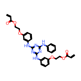 C=CC(=O)OCCOc1cccc(Nc2nc(Nc3ccccc3)nc(Nc3cccc(OCCOC(=O)C=C)c3)n2)c1